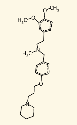 COc1ccc(CCN(C)Cc2ccc(OCCCN3CCCCC3)cc2)cc1OC